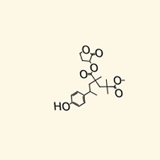 COC(=O)C(C)(C)CC(C)(CC(C)c1ccc(O)cc1)C(=O)OC1CCOC1=O